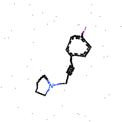 Ic1ccc(C#CCN2CCCC2)cc1